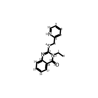 CCn1c(SCc2ccccn2)nc2ccccc2c1=O